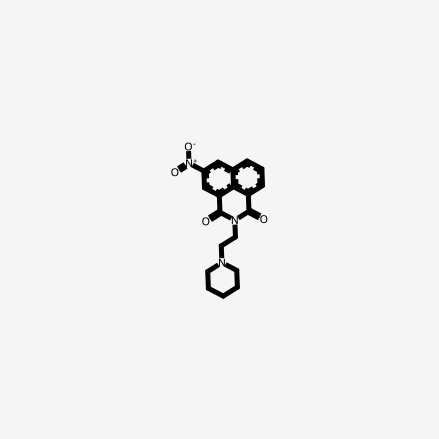 O=C1c2cccc3cc([N+](=O)[O-])cc(c23)C(=O)N1CCN1CCCCC1